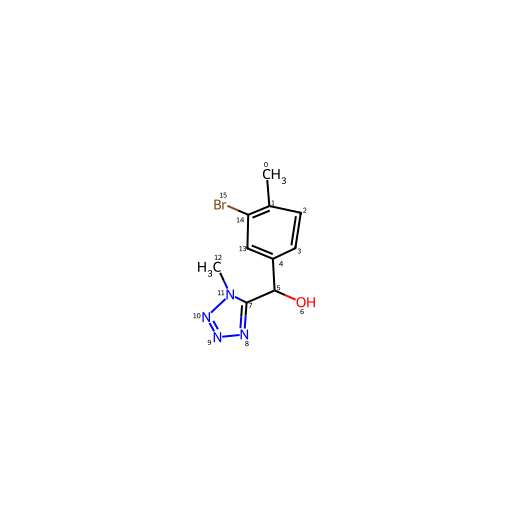 Cc1ccc(C(O)c2nnnn2C)cc1Br